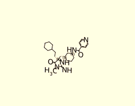 CN1C(=N)N[C@](CCC2CCCCC2)(C[C@H]2CCC[C@@H](NC(=O)c3ccncc3)C2)C1=O